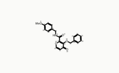 COc1ccc(CNC(=O)c2occc(=O)c2OCc2ccccc2)cc1